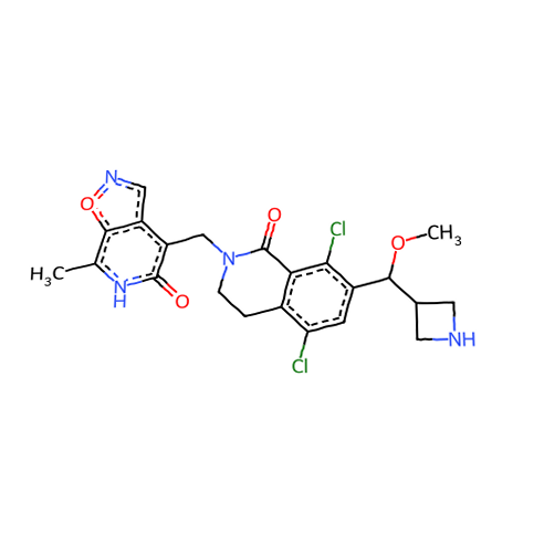 COC(c1cc(Cl)c2c(c1Cl)C(=O)N(Cc1c(=O)[nH]c(C)c3oncc13)CC2)C1CNC1